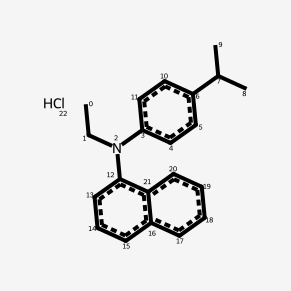 CCN(c1ccc(C(C)C)cc1)c1cccc2ccccc12.Cl